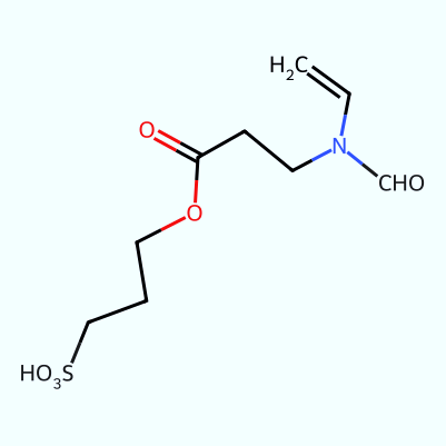 C=CN(C=O)CCC(=O)OCCCS(=O)(=O)O